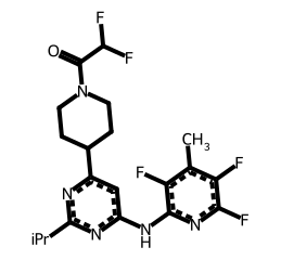 Cc1c(F)c(F)nc(Nc2cc(C3CCN(C(=O)C(F)F)CC3)nc(C(C)C)n2)c1F